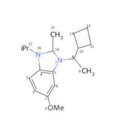 COc1ccc2c(c1)N(C(C)C1CCC1)C(C)N2C(C)C